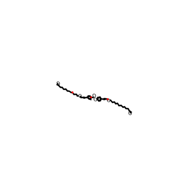 O=C(Oc1ccc(C#CCOCCCCCCCCCCCC2CO2)cc1)c1ccc(C#CCOCCCCCCCCCCCC2CO2)cc1